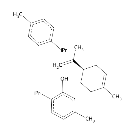 C=C(C)[C@H]1CC=C(C)CC1.Cc1ccc(C(C)C)c(O)c1.Cc1ccc(C(C)C)cc1